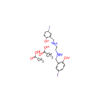 CC(=O)O.CC(=O)O.Oc1ccc(I)cc1CNCCNCc1cc(I)ccc1O